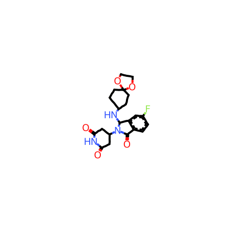 O=C1CC(N2C(=O)c3ccc(F)cc3C2NC2CCC3(CC2)OCCO3)CC(=O)N1